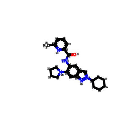 O=C(Nc1cc2cn(C3CCCCC3)nc2cc1N1CCCC1)c1cccc(C(F)(F)F)n1